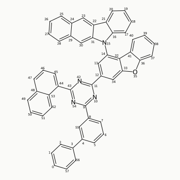 c1ccc(-c2cccc(-c3nc(-c4cc(-n5c6ccccc6c6cc7ccccc7cc65)c5c(c4)oc4ccccc45)nc(-c4cccc5ccccc45)n3)c2)cc1